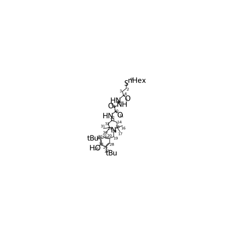 CCCCCCSCCC(=O)NNC(=O)C(=O)NC1CC(C)(C)N(Cc2cc(C(C)(C)C)c(O)c(C(C)(C)C)c2)C(C)(C)C1